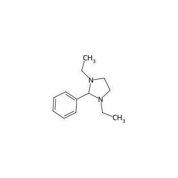 CCN1CCN(CC)C1c1ccccc1